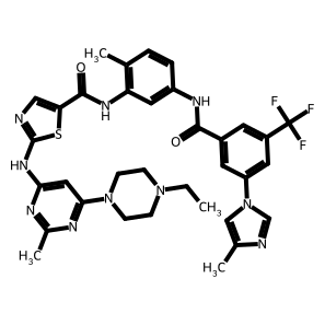 CCN1CCN(c2cc(Nc3ncc(C(=O)Nc4cc(NC(=O)c5cc(-n6cnc(C)c6)cc(C(F)(F)F)c5)ccc4C)s3)nc(C)n2)CC1